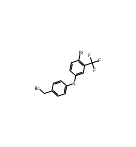 FC(F)(F)c1cc(Sc2ccc(CBr)cc2)ccc1Br